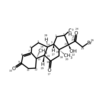 CC1C[C@H]2[C@@H]3CCC4=CC(=O)CC[C@]4(C)[C@H]3C(=O)C[C@]2(C)[C@@]1(O)C(=O)CBr